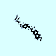 COc1ccc2cc(CC(=O)OCc3ccc(OC(=O)OCC[Si](C)(C)C)cc3)ccc2c1